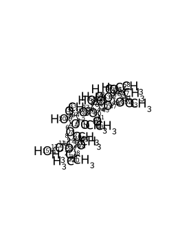 COCC1OC(COCC2C(COCCO)OC(CC(C)(C)C)C(OC)C2OC)C(O)C(OC)C1COCC1OC(COC)C(COCC2OC(COC)C(C(C)(C)C)C(OC)C2O)C(OC)C1O